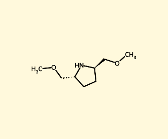 COC[C@H]1CC[C@H](COC)N1